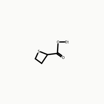 CCOC(=O)C1CCS1